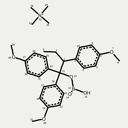 CCC(c1ccc(OC)cc1)C(OB([O-])O)(c1ccc(OC)cc1)c1ccc(OC)cc1.C[N+](C)(C)C